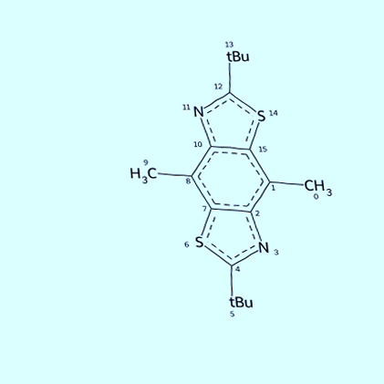 Cc1c2nc(C(C)(C)C)sc2c(C)c2nc(C(C)(C)C)sc12